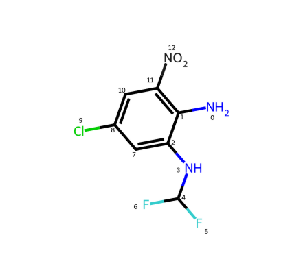 Nc1c(NC(F)F)cc(Cl)cc1[N+](=O)[O-]